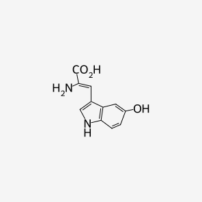 N/C(=C\c1c[nH]c2ccc(O)cc12)C(=O)O